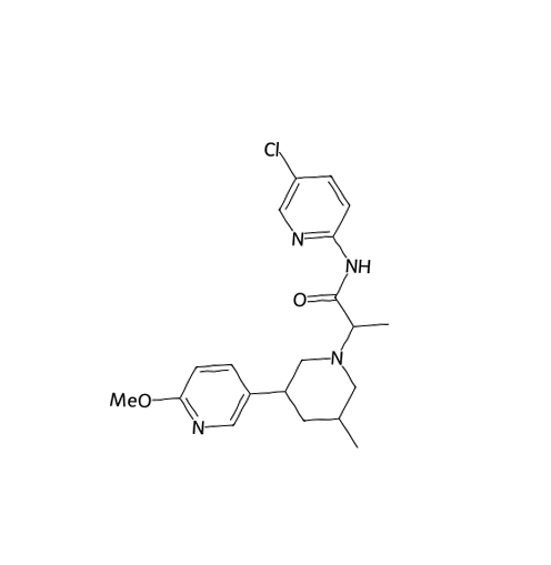 COc1ccc(C2CC(C)CN(C(C)C(=O)Nc3ccc(Cl)cn3)C2)cn1